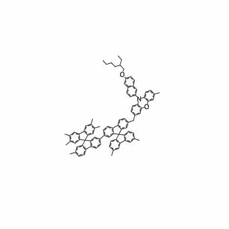 CCCCC(CC)COc1ccc2cc(N3c4ccc(C)cc4Oc4cc(Cc5ccc6c(c5)C5(c7ccc(C)cc7-c7cc(C)ccc75)c5cc(-c7ccc8c(c7)C7(c9cc(C)ccc9-8)c8cc(C)c(C)cc8-c8cc(C)c(C)cc87)ccc5-6)ccc43)ccc2c1